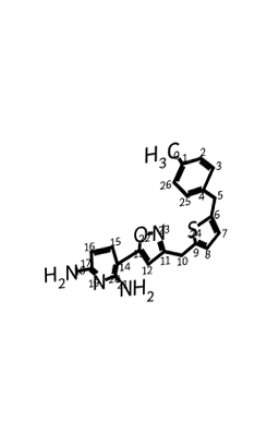 Cc1ccc(Cc2ccc(Cc3cc(-c4ccc(N)nc4N)on3)s2)cc1